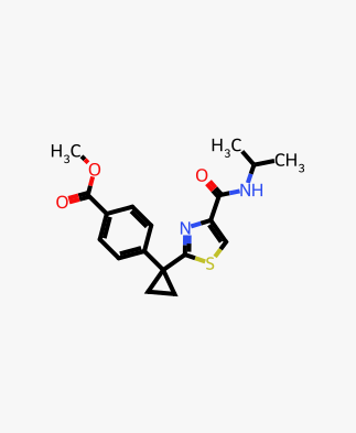 COC(=O)c1ccc(C2(c3nc(C(=O)NC(C)C)cs3)CC2)cc1